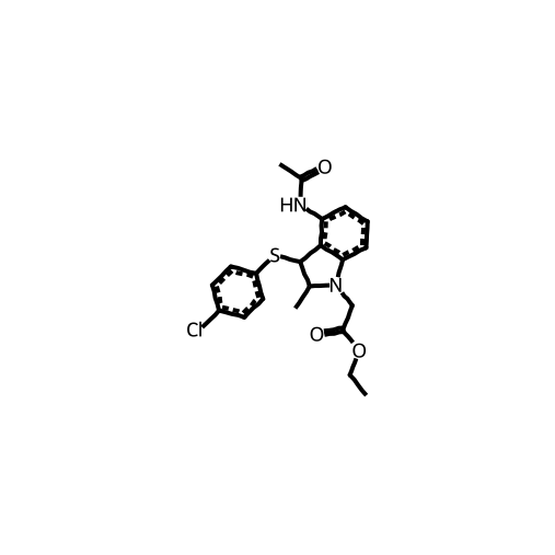 CCOC(=O)CN1c2cccc(NC(C)=O)c2C(Sc2ccc(Cl)cc2)C1C